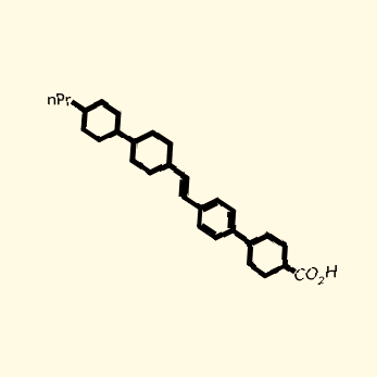 CCCC1CCC(C2CCC(C=Cc3ccc(C4CCC(C(=O)O)CC4)cc3)CC2)CC1